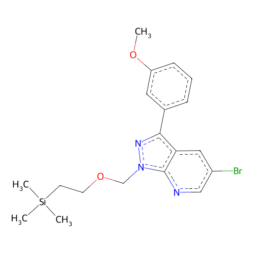 COc1cccc(-c2nn(COCC[Si](C)(C)C)c3ncc(Br)cc23)c1